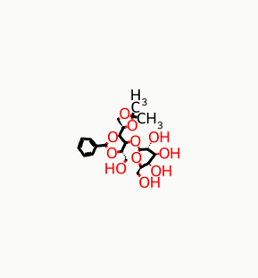 CC1(C)OC[C@H]([C@H]2OC(c3ccccc3)O[C@@H](CO)C2O[C@@H]2O[C@H](CO)[C@@H](O)[C@H](O)[C@H]2O)O1